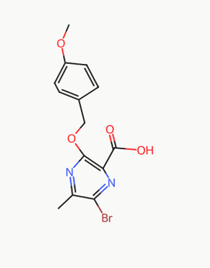 COc1ccc(COc2nc(C)c(Br)nc2C(=O)O)cc1